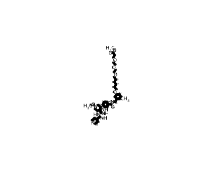 C.COC(=O)CCOCCOCCOCCCCCCOc1cccc(CNC(=O)c2cccc(NC3(C(=N)NC(=N)c4ccncc4)CCN(OC)CC3)c2)c1